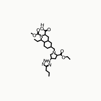 CCCc1nnn(C2CC(C(=O)OCC)N(CC3CCC4C(C3)CC(C(=O)O)N(C(=O)OC)C4CC)C2)n1